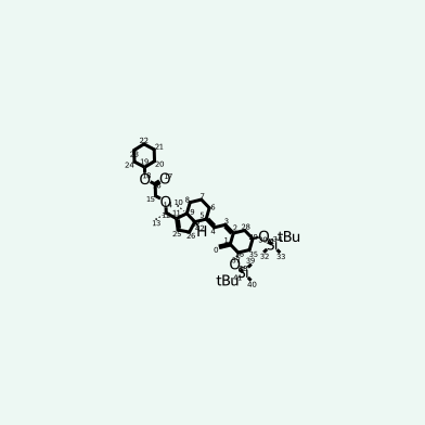 C=C1C(=CC=C2CCC[C@]3(C)C([C@H](C)OCC(=O)OC4CCCCC4)=CC[C@@H]23)C[C@@H](O[Si](C)(C)C(C)(C)C)C[C@@H]1O[Si](C)(C)C(C)(C)C